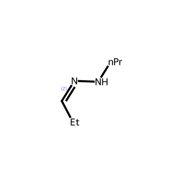 CC/C=N\NCCC